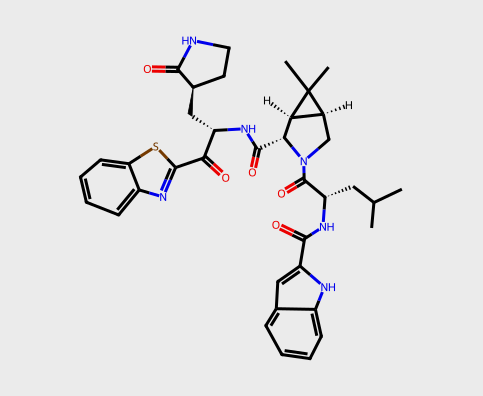 CC(C)C[C@H](NC(=O)c1cc2ccccc2[nH]1)C(=O)N1C[C@H]2[C@@H]([C@H]1C(=O)N[C@@H](C[C@@H]1CCNC1=O)C(=O)c1nc3ccccc3s1)C2(C)C